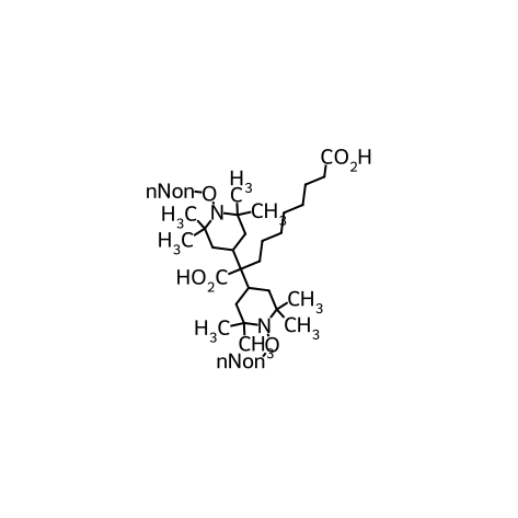 CCCCCCCCCON1C(C)(C)CC(C(CCCCCCCC(=O)O)(C(=O)O)C2CC(C)(C)N(OCCCCCCCCC)C(C)(C)C2)CC1(C)C